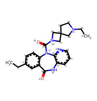 CCc1ccc2c(c1)C(=O)Nc1cccnc1N2C(=O)N1CC2(CCN(CC)C2)C1